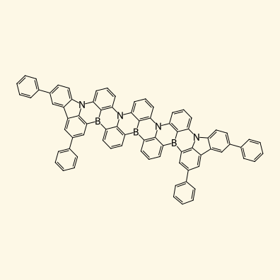 c1ccc(-c2ccc3c(c2)c2cc(-c4ccccc4)cc4c2n3-c2cccc3c2B4c2cccc4c2N3c2cccc3c2B4c2cccc4c2N3c2cccc3c2B4c2cc(-c4ccccc4)cc4c5cc(-c6ccccc6)ccc5n-3c24)cc1